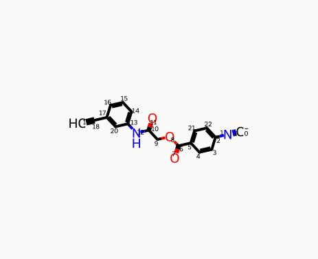 [C-]#[N+]c1ccc(C(=O)OCC(=O)Nc2cccc(C#C)c2)cc1